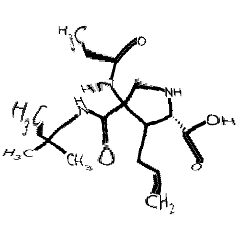 C=CCC1[C@@H](C(=O)O)NCC1(NC(C)=O)C(=O)NC(C)(C)C